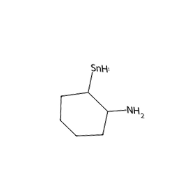 NC1CCCC[CH]1[SnH]